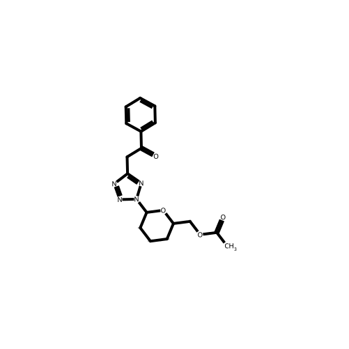 CC(=O)OCC1[CH][CH][CH]C(n2nnc(CC(=O)c3ccccc3)n2)O1